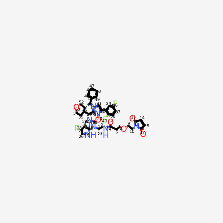 C[C@@H](CNC(=O)CCOCCN1C(=O)C=CC1=O)NC(=O)N(C[C@@H]1CNC[C@@H]1F)[C@@H](c1nc(-c2cc(F)ccc2F)cn1Cc1ccccc1)C1CCOCC1